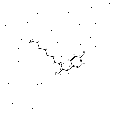 CCC(OCCCCCCBr)Sc1ccc(C)cc1